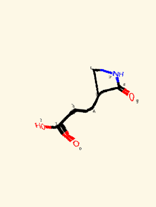 O=C(O)CCC1CNC1=O